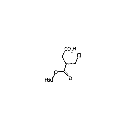 CC(C)(C)OC(=O)C(CCl)CC(=O)O